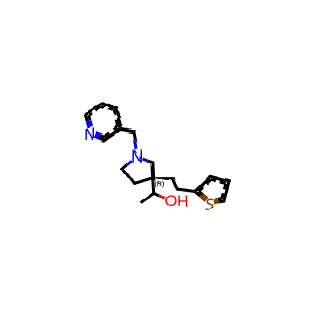 CC(O)[C@]1(CCc2cccs2)CCN(Cc2cccnc2)C1